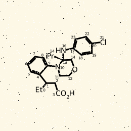 CCC(CC(=O)O)c1ccccc1N1CCOC[C@]1(Nc1ccc(Cl)cc1)C(C)C